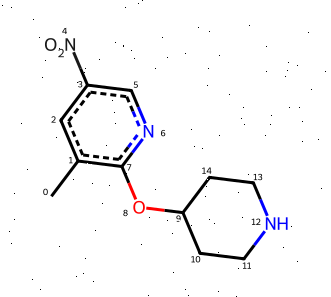 Cc1cc([N+](=O)[O-])cnc1OC1CCNCC1